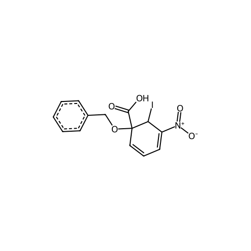 O=C(O)C1(OCc2ccccc2)C=CC=C([N+](=O)[O-])C1I